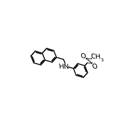 CS(=O)(=O)c1cccc(NCc2ccc3ccccc3c2)c1